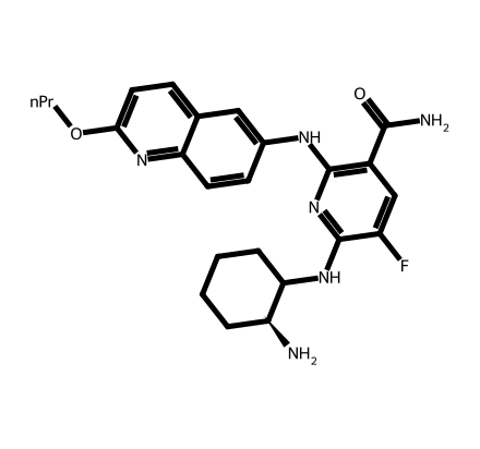 CCCOc1ccc2cc(Nc3nc(NC4CCCC[C@@H]4N)c(F)cc3C(N)=O)ccc2n1